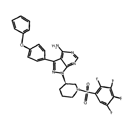 Nc1ncnc2c1c(-c1ccc(Oc3ccccc3)cc1)nn2[C@@H]1CCCN(S(=O)(=O)c2cc(F)c(F)c(F)c2F)C1